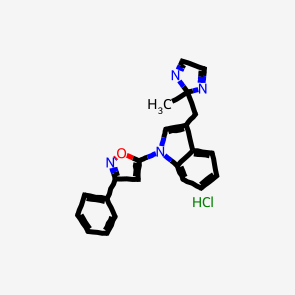 CC1(Cc2cn(-c3cc(-c4ccccc4)no3)c3ccccc23)N=CC=N1.Cl